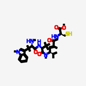 CN[C@H](C(=O)N[C@H](C(=O)N(C)[C@H](/C=C(\C)C(=O)CN[C@@H](CS)C(=O)OC)C(C)C)C(C)(C)C)C(C)(C)c1cn(C)c2ccccc12